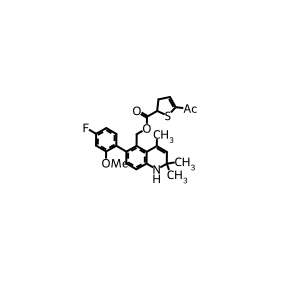 COc1cc(F)ccc1-c1ccc2c(c1COC(=O)C1CC=C(C(C)=O)S1)C(C)=CC(C)(C)N2